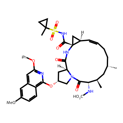 COc1ccc2c(O[C@@H]3C[C@H]4C(=O)N[C@]5(C(=O)NS(=O)(=O)C6(C)CC6)C[C@H]5C=CCC[C@H](C)C[C@@H](C)[C@H](NC(=O)O)C(=O)N4C3)nc(OC(C)C)cc2c1